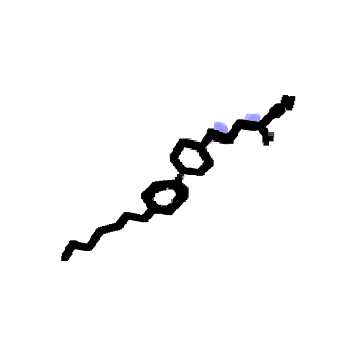 CCCCCCCc1ccc([C@H]2CC[C@H](/C=C/C=C(\F)C#N)CC2)cc1